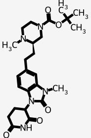 CN1CCN(C(=O)OC(C)(C)C)C[C@H]1CCc1ccc2c(c1)n(C)c(=O)n2C1CCC(=O)NC1=O